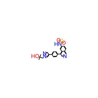 CC(C)(O)Cn1cc(-c2ccc(-c3cncc4ccc(NS(C)(=O)=O)cc34)cc2)cn1